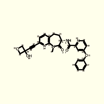 CN1C(=O)[C@@H](NC(=O)c2cc(Oc3ccccc3)ccn2)CCc2ccc(C#CC3(O)COC3)nc21